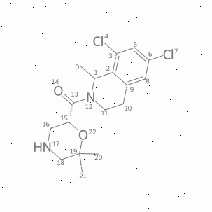 CC1c2c(Cl)cc(Cl)cc2CCN1C(=O)[C@H]1CNCC(C)(C)O1